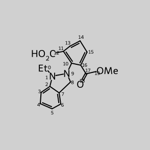 CCN1c2ccccc2CN1c1c(C(=O)O)cccc1C(=O)OC